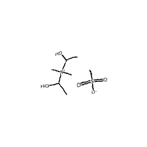 CC(O)[N+](C)(C)C(C)O.CS(=O)(=O)[O-]